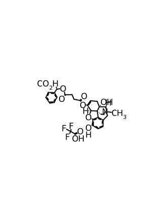 CN1CC[C@]23c4c5ccc(O)c4O[C@H]2C(OC(=O)CCC(=O)O[C@H](C(=O)O)c2ccccc2)=CC[C@@]3(O)[C@H]1C5.O=C(O)C(F)(F)F